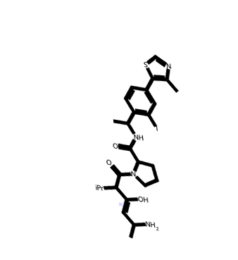 Cc1ncsc1-c1ccc(C(C)NC(=O)C2CCCN2C(=O)C(/C(O)=C/C(C)N)C(C)C)c(I)c1